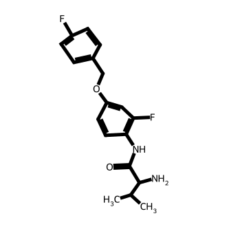 CC(C)C(N)C(=O)Nc1ccc(OCc2ccc(F)cc2)cc1F